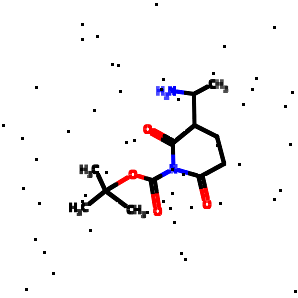 CC(N)C1CCC(=O)N(C(=O)OC(C)(C)C)C1=O